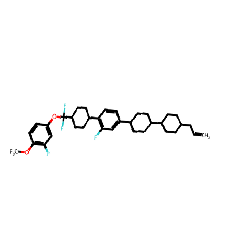 C=CCC1CCC(C2CCC(c3ccc(C4CCC(C(F)(F)Oc5ccc(OC(F)(F)F)c(F)c5)CC4)c(F)c3)CC2)CC1